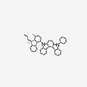 C=C/C=C1/c2ccccc2-c2c(-n3c4ccccc4c4c5c6ccccc6n(-c6ccccc6)c5ccc43)ccc(C)c21